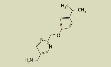 CC(C)c1ccc(OCc2ncc(CN)cn2)cc1